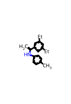 C=C(Nc1ccc(C)cc1)c1cc(CC)cc(CC)c1